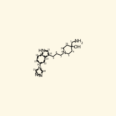 NCC1(O)CCN(CCCc2c[nH]c3ccc(-n4cnnc4)cc23)CC1